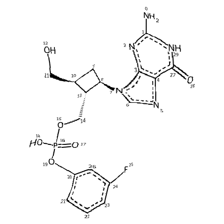 Nc1nc2c(ncn2[C@@H]2C[C@H](CO)[C@H]2COP(=O)(O)Oc2cccc(F)c2)c(=O)[nH]1